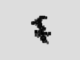 COc1cnc2c(-c3nc4cc(F)c(O[C@@H](C)C(C)N(C(=O)O)c5cnc(C)nc5)cc4s3)cc(Cl)cc2c1